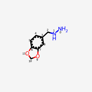 NNCc1ccc2c(c1)OCO2